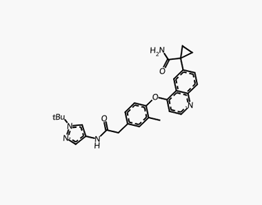 Cc1cc(CC(=O)Nc2cnn(C(C)(C)C)c2)ccc1Oc1ccnc2ccc(C3(C(N)=O)CC3)cc12